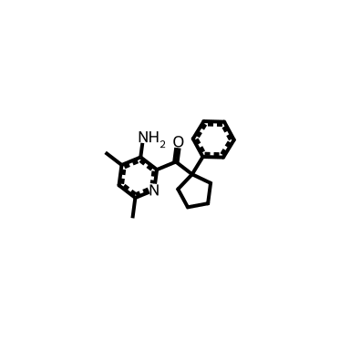 Cc1cc(C)c(N)c(C(=O)C2(c3ccccc3)CCCC2)n1